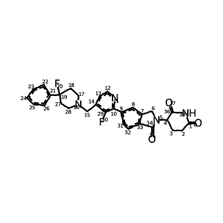 O=C1CCC(N2Cc3cc(-c4nccc(CN5CCC(F)(c6ccccc6)CC5)c4F)ccc3C2=O)C(=O)N1